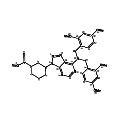 COC(=O)C1CCCC(n2nnc3c(N(Cc4ccc(OC)cc4OC)Cc4ccc(OC)cc4OC)ncnc32)C1